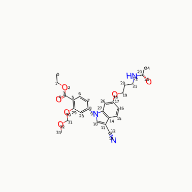 CCOC(=O)c1ccc(-n2cc(C#N)c3ccc(OCCCNC(C)=O)cc32)cc1OCOC